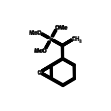 CO[Si](OC)(OC)C(C)C1CCCC2OC21